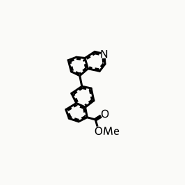 COC(=O)c1cccc2cc(-c3cccc4cnccc34)ccc12